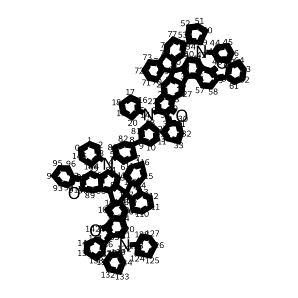 c1ccc(N(c2ccc(-c3cccc(N(c4ccccc4)c4cc5cc6c(cc5c5oc7ccccc7c45)-c4c(cc(N(c5ccccc5)c5ccccc5)c5c4ccc4c7ccccc7oc45)C64c5ccccc5-c5ccccc54)c3)cc2)c2cc3c(c4cc5oc6ccccc6c5cc24)-c2cc4c(cc2C32c3ccccc3-c3ccccc32)cc(N(c2ccccc2)c2ccccc2)c2c3ccccc3oc42)cc1